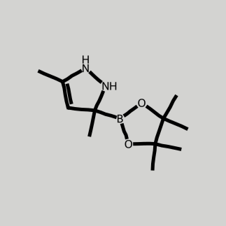 CC1=CC(C)(B2OC(C)(C)C(C)(C)O2)NN1